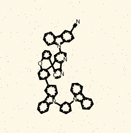 N#Cc1ccc2c(c1)c1ccccc1n2-c1cnc2c(c1)C1(c3ccccc3Oc3ccc(-c4ccc5c(c4)c4ccccc4n5-c4cccc(-n5c6ccccc6c6ccccc65)c4)cc31)c1cccnc1-2